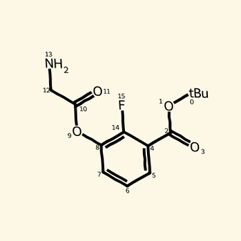 CC(C)(C)OC(=O)c1cccc(OC(=O)CN)c1F